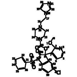 COc1ncccc1C1(OC(=O)N2CCN(CCn3ccnc3)CC2)C(=O)N(S(=O)(=O)c2ccccc2)c2ccc(Cl)cc21